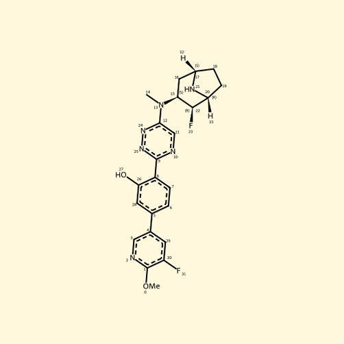 COc1ncc(-c2ccc(-c3ncc(N(C)[C@H]4C[C@@H]5CC[C@@H](N5)[C@H]4F)nn3)c(O)c2)cc1F